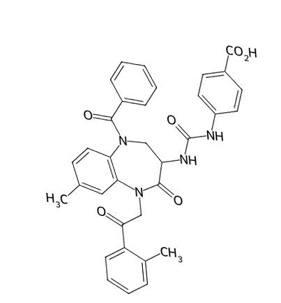 Cc1ccc2c(c1)N(CC(=O)c1ccccc1C)C(=O)C(NC(=O)Nc1ccc(C(=O)O)cc1)CN2C(=O)c1ccccc1